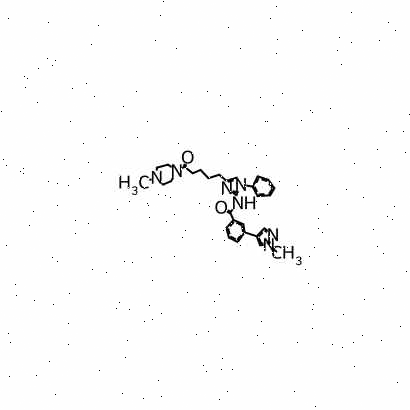 CN1CCN(C(=O)CCCCc2cn(-c3ccccc3)c(NC(=O)c3cccc(-c4cnn(C)c4)c3)n2)CC1